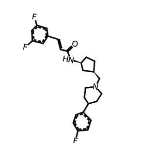 O=C(/C=C/c1cc(F)cc(F)c1)N[C@H]1CC[C@@H](CN2CCC(c3ccc(F)cc3)CC2)C1